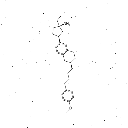 CC[C@@]1(N)CC[C@H](c2ccc3c(c2)CC[C@@H](CCCCc2ccc(OC)cc2)C3)C1